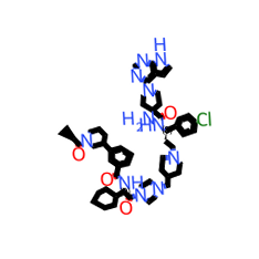 NC1(C(=O)N[C@@H](CCN2CCC(CN3CCN(C(=O)[C@H](NC(=O)c4cccc(C5CCCN(C(=O)C6CC6)C5)c4)C4CCCCC4)CC3)CC2)c2ccc(Cl)cc2)CCN(c2ncnc3[nH]ccc23)CC1